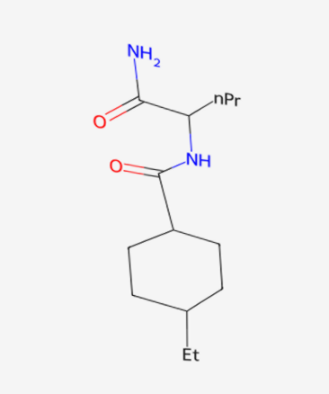 CCCC(NC(=O)C1CCC(CC)CC1)C(N)=O